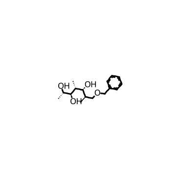 C[C@@H]([C@@H](O)[C@H](C)O)[C@H](O)[C@H](C)COCc1ccccc1